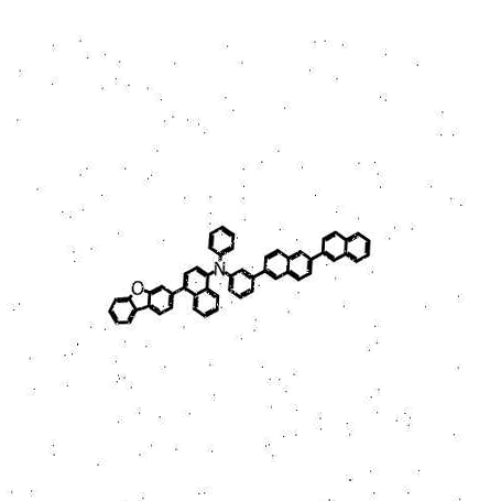 c1ccc(N(c2cccc(-c3ccc4cc(-c5ccc6ccccc6c5)ccc4c3)c2)c2ccc(-c3ccc4c(c3)oc3ccccc34)c3ccccc23)cc1